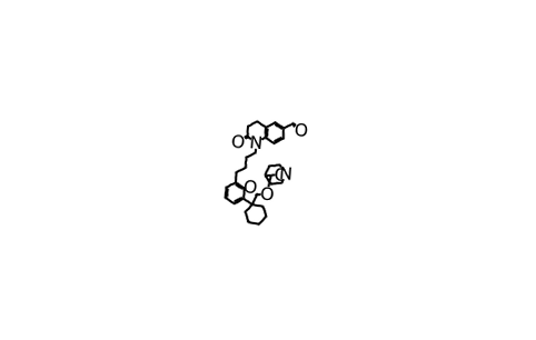 O=Cc1ccc2c(c1)CCC(=O)N2CCCCc1cccc(C2(C(=O)OC3CN4CCC3CC4)CCCCC2)c1